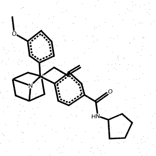 C=CCN1CC2CC(C1)N2C(c1ccc(C(=O)NC2CCCC2)cc1)c1cccc(OC)c1